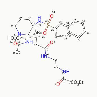 CCOC(=O)C(=O)NCCNC(=O)CC[C@]1(NC(=O)CC)N(C(=O)O)CCC[C@]1(NS(=O)(=O)c1ccc2ccccc2c1)C(C)CC